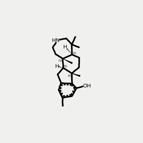 Cc1cc(O)c2c(c1)C[C@H]1[C@]3(C)CCNCC(C)(C)[C@H]3CC[C@]21C